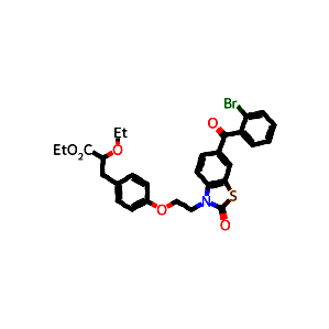 CCOC(=O)C(Cc1ccc(OCCn2c(=O)sc3cc(C(=O)c4ccccc4Br)ccc32)cc1)OCC